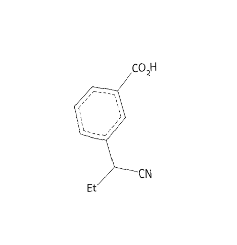 CCC(C#N)c1cccc(C(=O)O)c1